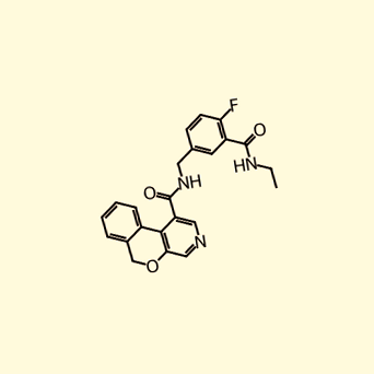 CCNC(=O)c1cc(CNC(=O)c2cncc3c2-c2ccccc2CO3)ccc1F